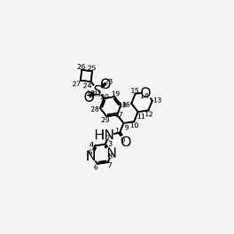 O=C(Nc1cnccn1)C(CC1CCOCC1)c1ccc(S(=O)(=O)C2CCC2)cc1